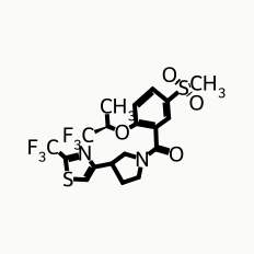 C[C@@H](Oc1ccc(S(C)(=O)=O)cc1C(=O)N1CCC(c2csc(C(F)(F)F)n2)C1)C(F)(F)F